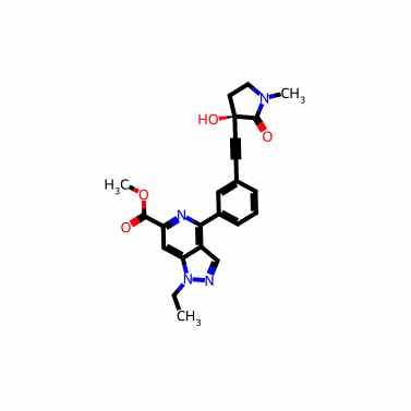 CCn1ncc2c(-c3cccc(C#C[C@]4(O)CCN(C)C4=O)c3)nc(C(=O)OC)cc21